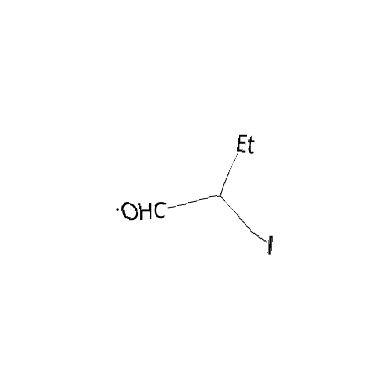 CCC(I)[C]=O